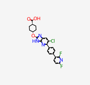 O=C(O)[C@H]1CC[C@H](Oc2nc3cc(Cl)c(-c4ccc(-c5ccc(F)nc5F)cc4)nc3[nH]2)CC1